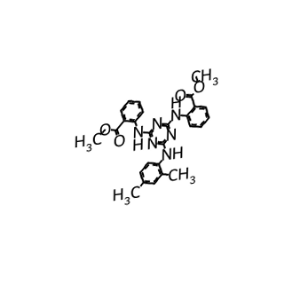 COC(=O)c1ccccc1Nc1nc(Nc2ccc(C)cc2C)nc(Nc2ccccc2C(=O)OC)n1